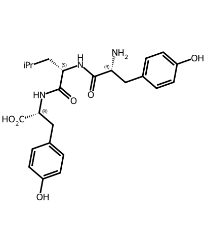 CC(C)C[C@H](NC(=O)[C@H](N)Cc1ccc(O)cc1)C(=O)N[C@H](Cc1ccc(O)cc1)C(=O)O